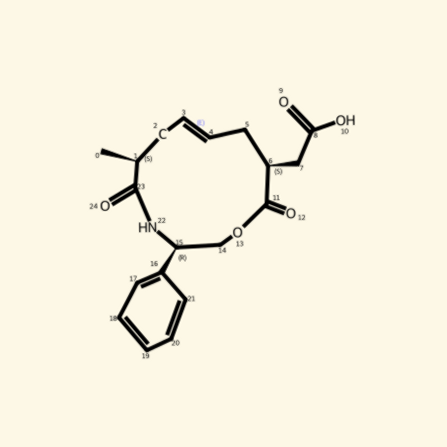 C[C@H]1C/C=C/C[C@@H](CC(=O)O)C(=O)OC[C@@H](c2ccccc2)NC1=O